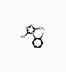 Cc1nnc(S)n1-c1ccccc1F